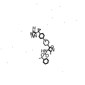 Cc1noc(C2CCN(c3ccc(C4(c5nnn[nH]5)CC4)cc3)CC2)c1NC(=O)O[C@H](C)c1ccccc1